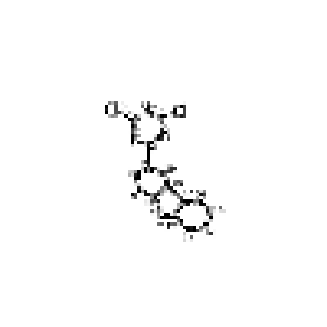 Clc1nc(Cl)nc(-c2ccc3sc4ccccc4c3c2)n1